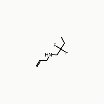 C=CCNCC(F)(F)CC